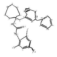 O=C(Nc1c(F)cc(F)cc1F)NC1(Cc2cccc(-c3ccccc3)c2)CCCCCC1